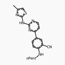 CCCCCNc1ccc(-c2ccnc(Nc3nc(C)cs3)n2)cc1C#N